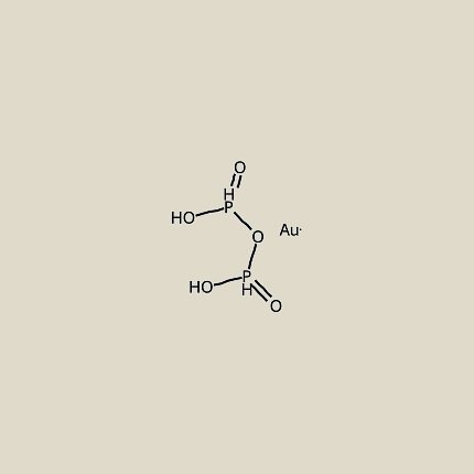 O=[PH](O)O[PH](=O)O.[Au]